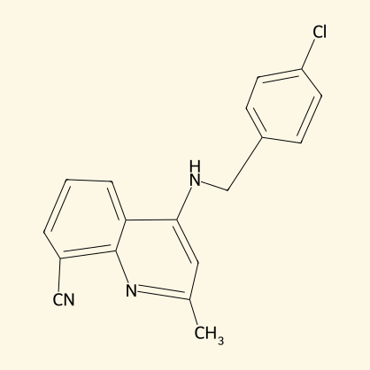 Cc1cc(NCc2ccc(Cl)cc2)c2cccc(C#N)c2n1